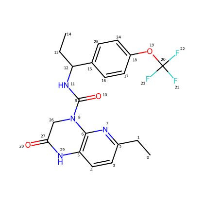 CCc1ccc2c(n1)N(C(=O)NC(CC)c1ccc(OC(F)(F)F)cc1)CC(=O)N2